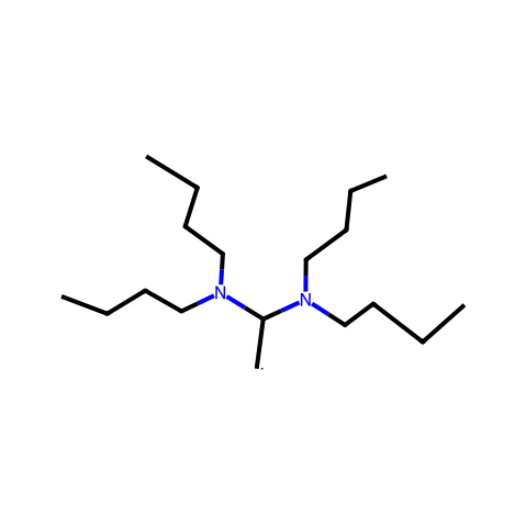 [CH2]C(N(CCCC)CCCC)N(CCCC)CCCC